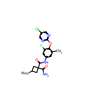 COC1CC(C(N)=O)(C(=O)Nc2cc(C)c(Oc3ncc(Cl)cn3)c(F)c2)C1